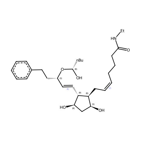 CCCC[C@H](O)O[C@H](/C=C/[C@@H]1[C@@H](C/C=C\CCCC(=O)NCC)[C@@H](O)C[C@H]1O)CCc1ccccc1